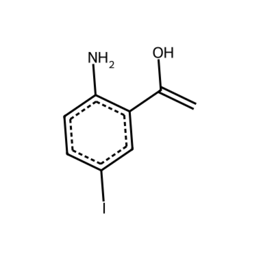 C=C(O)c1cc(I)ccc1N